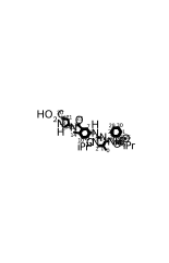 Cc1cnc(Nc2cc3c(cc2OC(C)C)CN([C@@H]2CN[C@H](C(=O)O)C2)C3=O)nc1Nc1ccccc1S(=O)(=O)C(C)C